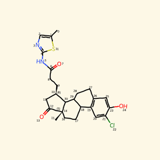 Cc1cnc(NC(=O)CC[C@@H]2CC(=O)[C@@]3(C)CCC4c5cc(Cl)c(O)cc5CCC4C23)s1